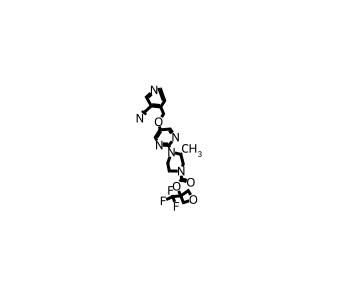 C[C@@H]1CN(C(=O)OC2(C(F)(F)F)COC2)CCN1c1ncc(OCc2ccncc2C#N)cn1